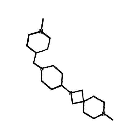 CN1CCC(CN2CCC(N3CC4(CCN(C)CC4)C3)CC2)CC1